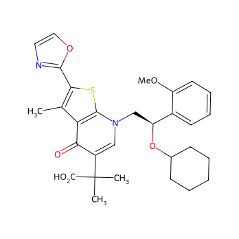 COc1ccccc1[C@H](Cn1cc(C(C)(C)C(=O)O)c(=O)c2c(C)c(-c3ncco3)sc21)OC1CCCCC1